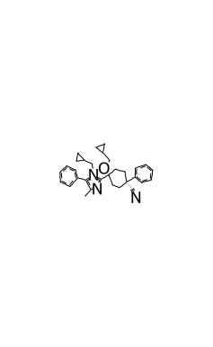 Cc1nc([C@]2(OCC3CC3)CC[C@](C#N)(c3ccccc3)CC2)n(CC2CC2)c1-c1ccccc1